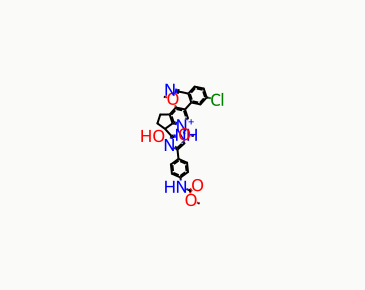 COC(=O)Nc1ccc(-c2c[nH]c(C3(O)CCc4c(OC)c(-c5cc(Cl)ccc5C#N)c[n+](OC)c43)n2)cc1